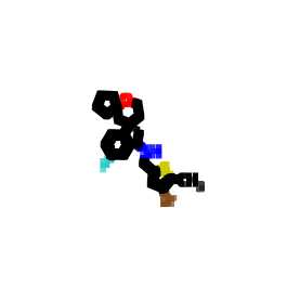 Cc1sc(CNCC[C@@]2(c3ccc(F)cc3)CCOC3(CCCC3)C2)cc1Br